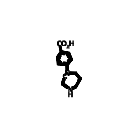 O=C(O)c1ccc(N2CCCNCC2)cc1